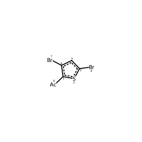 CC(=O)c1sc(Br)cc1Br